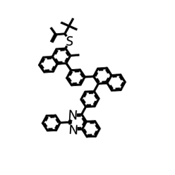 C=C(C)C(Sc1cc2ccccc2c(-c2cccc(-c3ccc4ccccc4c3-c3ccc(-c4nc(-c5ccccc5)nc5ccccc45)cc3)c2)c1C)C(C)(C)C